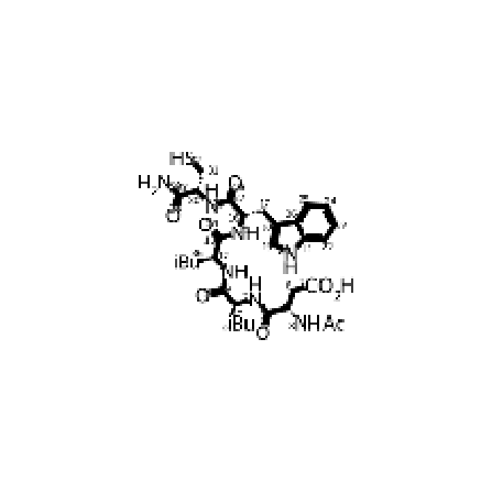 CCC(C)[C@H](NC(=O)[C@H](CC(=O)O)NC(C)=O)C(=O)N[C@H](C(=O)N[C@@H](Cc1c[nH]c2ccccc12)C(=O)N[C@@H](CS)C(N)=O)C(C)CC